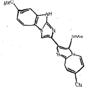 CNc1c(-c2cn3c(n2)[nH]c2cc(OC)ccc23)nc2cc(C#N)ccn12